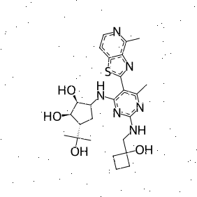 Cc1nc(NCC2(O)CCC2)nc(NC2C[C@H](C(C)(C)O)[C@@H](O)[C@H]2O)c1-c1nc2c(C)nccc2s1